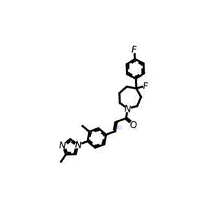 Cc1cn(-c2ccc(/C=C/C(=O)N3CCCC(F)(c4ccc(F)cc4)CC3)cc2C)cn1